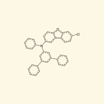 Clc1ccc2c(c1)oc1ccc(N(c3ccccc3)c3cc(-c4ccccc4)cc(-c4ccccc4)c3)cc12